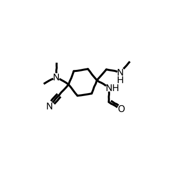 CNCC1(NC=O)CCC(C#N)(N(C)C)CC1